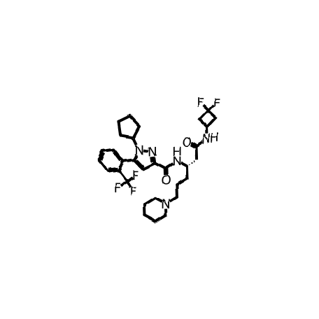 O=C(C[C@H](CCCN1CCCCC1)NC(=O)c1cc(-c2ccccc2C(F)(F)F)n(C2CCCC2)n1)NC1CC(F)(F)C1